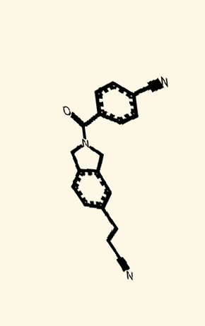 N#CCCc1ccc2c(c1)CN(C(=O)c1ccc(C#N)cc1)C2